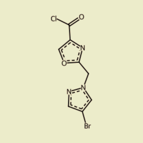 O=C(Cl)c1coc(Cn2cc(Br)cn2)n1